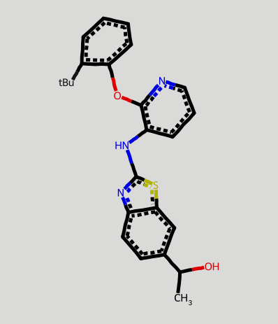 CC(O)c1ccc2nc(Nc3cccnc3Oc3ccccc3C(C)(C)C)sc2c1